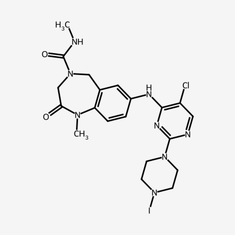 CNC(=O)N1CC(=O)N(C)c2ccc(Nc3nc(N4CCN(I)CC4)ncc3Cl)cc2C1